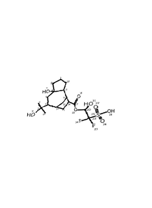 CC(C)(O)C1CC2(O)CCCC2C2CC1CC2C(=O)OC(O)C(F)(F)S(=O)(=O)O